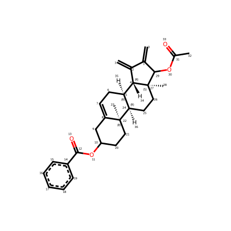 C=C1C(=C)[C@H]2[C@@H]3CC=C4CC(OC(=O)c5ccccc5)CC[C@]4(C)[C@@H]3CC[C@]2(C)C1OC(C)=O